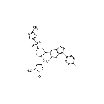 Cc1cc2c(cnn2-c2ccc(F)cc2)cc1C1CN(S(=O)(=O)c2cnn(C)n2)CCN1CC1CC(=O)N(C)C1